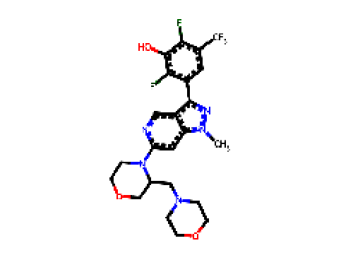 Cn1nc(-c2cc(C(F)(F)F)c(F)c(O)c2F)c2cnc(N3CCOCC3CN3CCOCC3)cc21